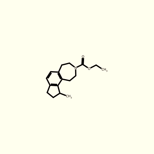 CCOC(=O)N1CCc2ccc3c(c2CC1)C(C)CC3